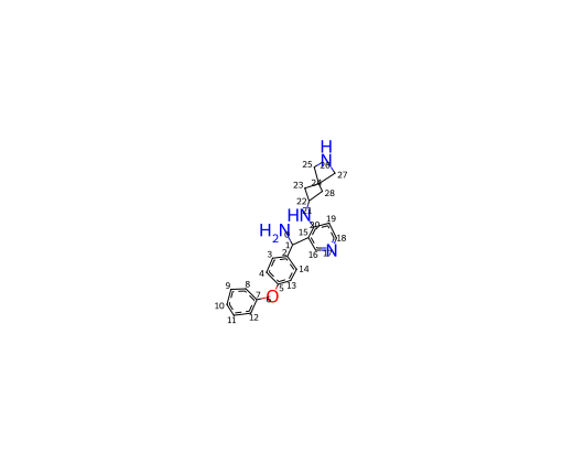 NC(c1ccc(Oc2ccccc2)cc1)c1cnccc1NC1CC2(CNC2)C1